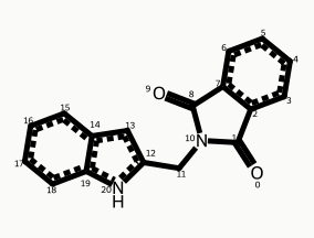 O=C1c2ccccc2C(=O)N1Cc1cc2ccccc2[nH]1